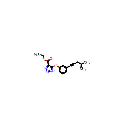 CCOC(=O)c1nn[nH]c1Oc1cccc(C#CCC(C)C)c1